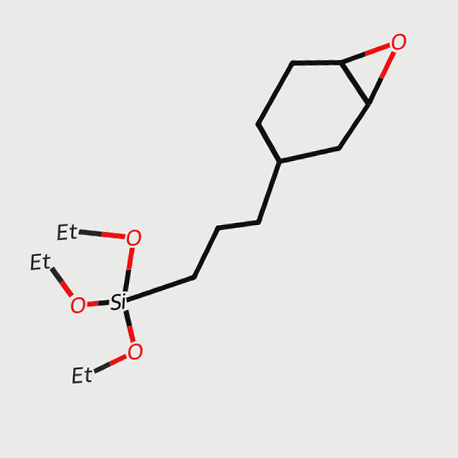 CCO[Si](CCCC1CCC2OC2C1)(OCC)OCC